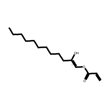 C=CC(=O)O/C=C(\O)CCCCCCCCCC